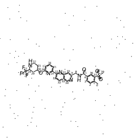 Cc1ccc(C(=O)NCc2cc3nc(-c4cccc(OC5CCNC(C(F)(F)F)C5)n4)ccc3cn2)cc1S(C)(=O)=O